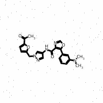 CC(=O)c1ccc(Cn2cc(NC(=O)c3ncoc3-c3cccc(N(C)C)c3)cn2)o1